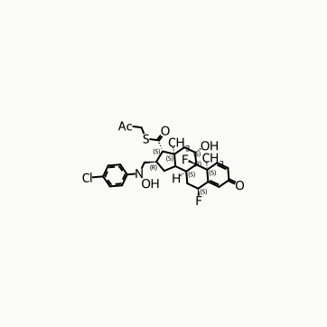 CC(=O)CSC(=O)[C@H]1[C@H](CN(O)c2ccc(Cl)cc2)CC2[C@@H]3C[C@H](F)C4=CC(=O)C=C[C@]4(C)[C@@]3(F)[C@@H](O)C[C@@]21C